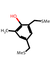 CSCc1cc(C)c(O)c(CSC)c1